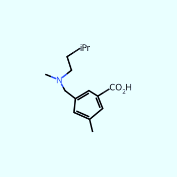 Cc1cc(CN(C)CCC(C)C)cc(C(=O)O)c1